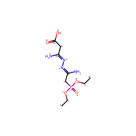 CCOP(=O)(C/C(N)=N/N=C(\N)CC(=O)O)OCC